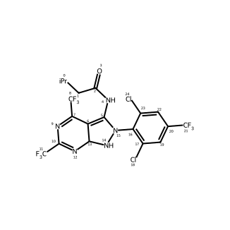 CC(C)CC(=O)NC1=C2C(C(F)(F)F)=NC(C(F)(F)F)=NC2NN1c1c(Cl)cc(C(F)(F)F)cc1Cl